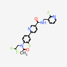 CC(=O)N(CC(F)F)c1ccc(-c2ccc(C(=O)NCc3cccnc3F)cn2)cc1F